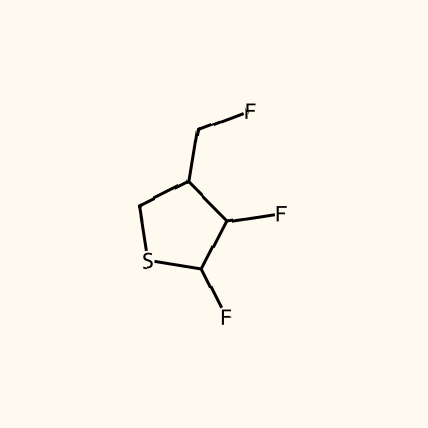 FCC1CSC(F)C1F